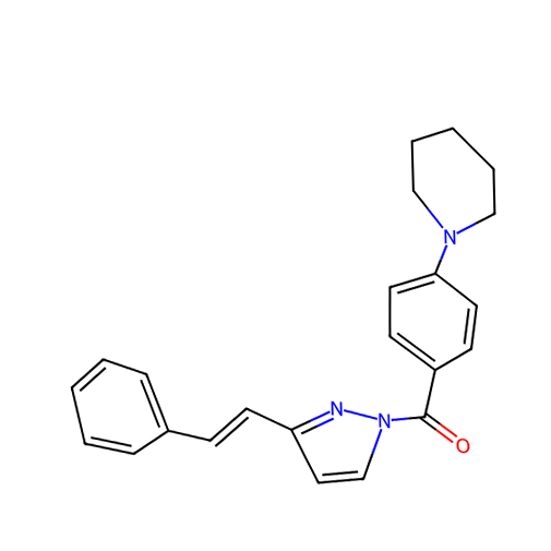 O=C(c1ccc(N2CCCCC2)cc1)n1ccc(/C=C/c2ccccc2)n1